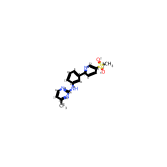 CS(=O)(=O)c1ccc(-c2cccc(Nc3nccc(C(F)(F)F)n3)c2)nc1